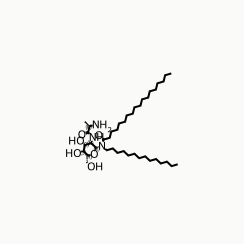 CCCCCCCCCCCCCCCCCC(=O)N(CCCCCCCCCCCCCC)[C@@H]1O[C@H](CO)[C@@H](O)[C@H](O)[C@H]1NC(=O)[C@@H](C)N